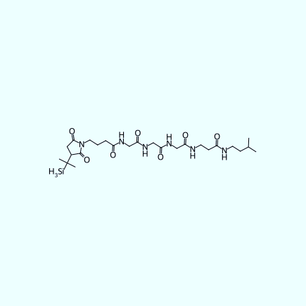 CC(C)CCNC(=O)CCNC(=O)CNC(=O)CNC(=O)CNC(=O)CCCN1C(=O)CC(C(C)(C)[SiH3])C1=O